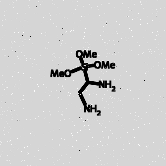 CO[Si](OC)(OC)C(N)CN